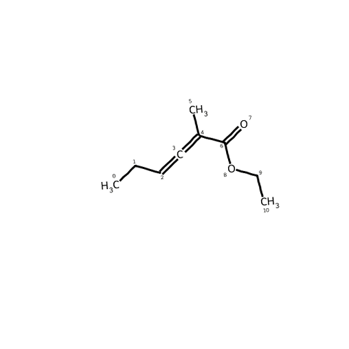 CCC=C=C(C)C(=O)OCC